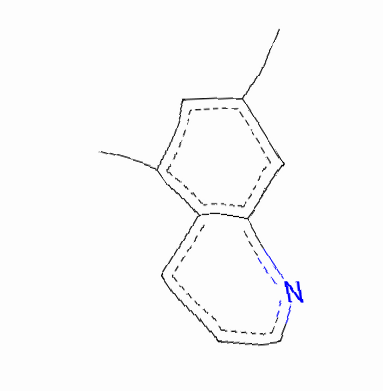 Cc1cc(C)c2cccnc2c1